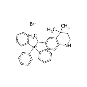 CC(c1ccc2c(c1)C(C)(C)CCN2)[P+](c1ccccc1)(c1ccccc1)c1ccccc1.[Br-]